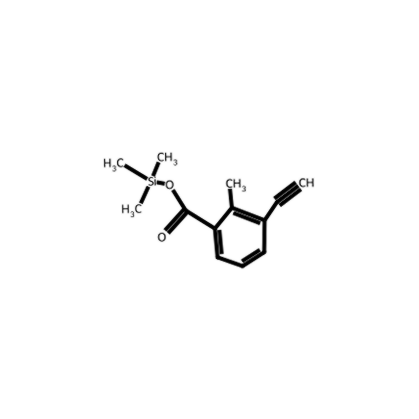 C#Cc1cccc(C(=O)O[Si](C)(C)C)c1C